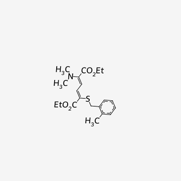 CCOC(=O)/C(=C/C=C(/C(=O)OCC)N(C)C)SCc1ccccc1C